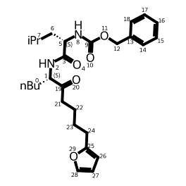 CCCC[C@H](NC(=O)[C@H](CC(C)C)NC(=O)OCc1ccccc1)C(=O)CCCCc1ccco1